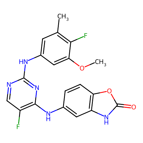 COc1cc(Nc2ncc(F)c(Nc3ccc4oc(=O)[nH]c4c3)n2)cc(C)c1F